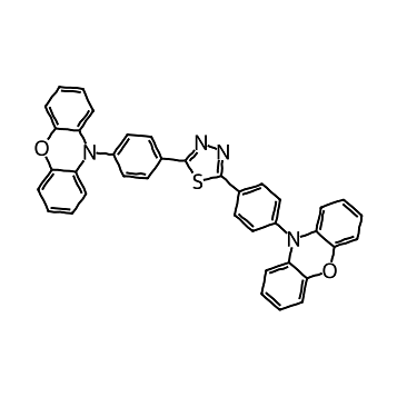 c1ccc2c(c1)Oc1ccccc1N2c1ccc(-c2nnc(-c3ccc(N4c5ccccc5Oc5ccccc54)cc3)s2)cc1